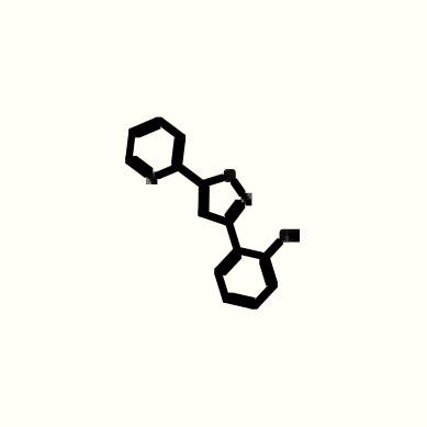 Oc1ccccc1-c1cc(-c2ccccn2)on1